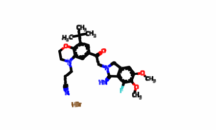 Br.COc1cc2c(c(F)c1OC)C(=N)N(CC(=O)c1cc3c(c(C(C)(C)C)c1)OCCN3CCC#N)C2